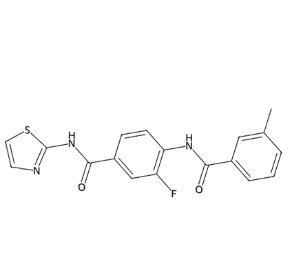 Cc1cccc(C(=O)Nc2ccc(C(=O)Nc3nccs3)cc2F)c1